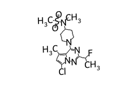 Cc1cc(Cl)n2nc(C(C)F)nc(N3CCC(N(C)S(C)(=O)=O)CC3)c12